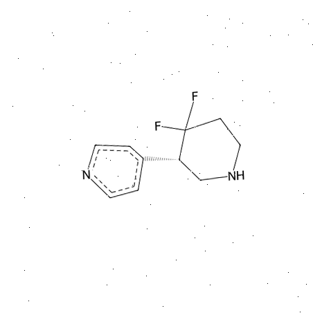 FC1(F)CCNC[C@@H]1c1ccncc1